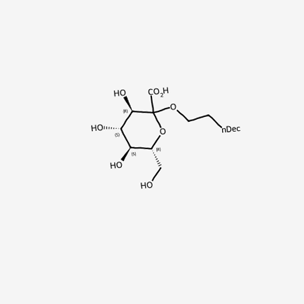 CCCCCCCCCCCCOC1(C(=O)O)O[C@H](CO)[C@@H](O)[C@H](O)[C@H]1O